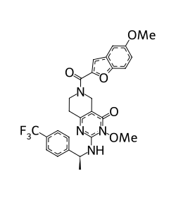 COc1ccc2oc(C(=O)N3CCc4nc(N[C@@H](C)c5ccc(C(F)(F)F)cc5)n(OC)c(=O)c4C3)cc2c1